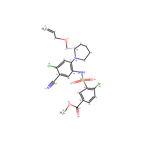 C=CCOC[C@@H]1CCCCN1c1cc(Cl)c(C#N)cc1NS(=O)(=O)c1cc(C(=O)OC)ccc1Br